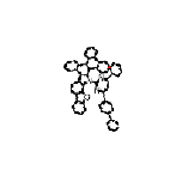 c1ccc(-c2ccc(-c3cc(-c4ccccc4)nc(-n4c5c(ccc6c7ccccc7oc65)c5c6ccccc6c6c7ccccc7c7ccccc7c6c54)n3)cc2)cc1